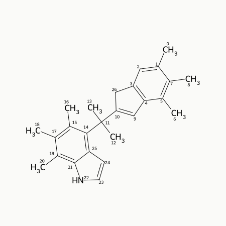 Cc1cc2c(c(C)c1C)C=C(C(C)(C)c1c(C)c(C)c(C)c3[nH]ccc13)C2